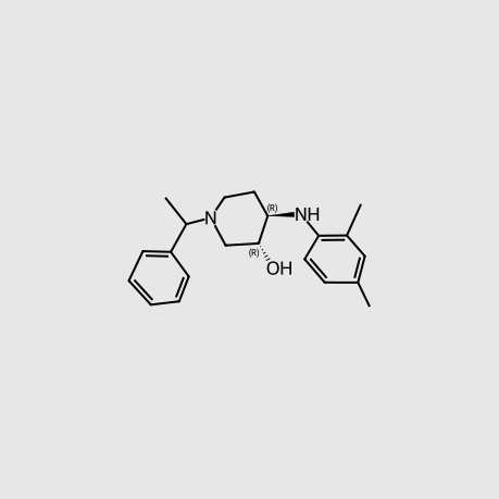 Cc1ccc(N[C@@H]2CCN(C(C)c3ccccc3)C[C@H]2O)c(C)c1